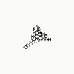 COCCCCc1cnc(-c2cc(F)c(OC)c(F)c2)c(-c2ccc(C(=O)O)c(Cl)c2)c1